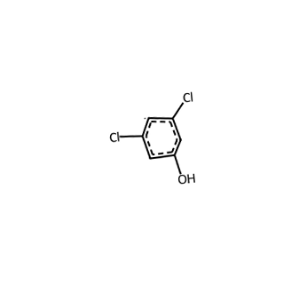 Oc1cc(Cl)[c]c(Cl)c1